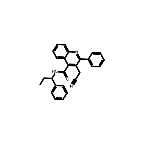 CCC(NC(=O)c1c(CC#N)c(-c2ccccc2)nc2ccccc12)c1ccccc1